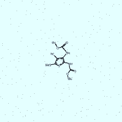 CSc1sc(NC(=O)OC(C)(C)C)c(NC(=O)OC(C)(C)C)c1C#N